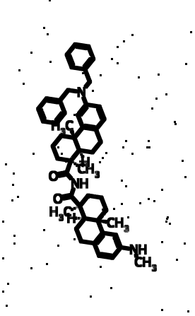 CNc1ccc2c(c1)[C@@]1(C)CCC[C@](C)(C(=O)NC(=O)[C@@]3(C)CCC[C@]4(C)c5cc(N(Cc6ccccc6)Cc6ccccc6)ccc5CC[C@@H]34)[C@@H]1CC2